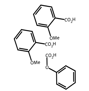 COc1ccccc1C(=O)O.COc1ccccc1C(=O)O.O=C(O)Oc1ccccc1